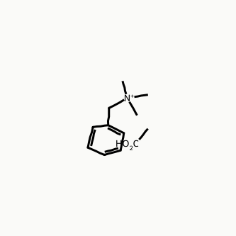 CC(=O)O.C[N+](C)(C)Cc1ccccc1